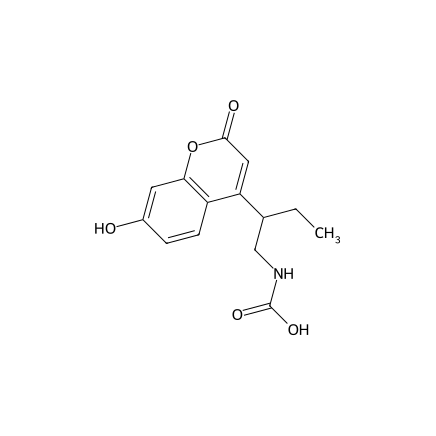 CCC(CNC(=O)O)c1cc(=O)oc2cc(O)ccc12